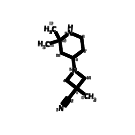 CC1(C#N)CN(C2CCNC(C)(C)C2)C1